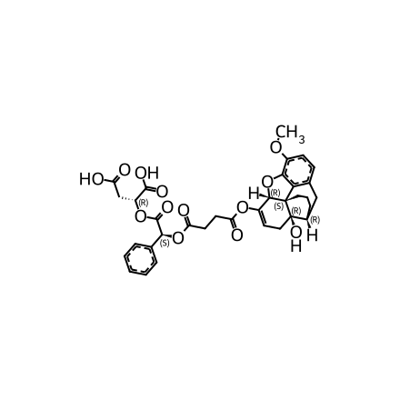 COc1ccc2c3c1O[C@H]1C(OC(=O)CCC(=O)O[C@H](C(=O)O[C@H](CC(=O)O)C(=O)O)c4ccccc4)=CC[C@@]4(O)[C@H](CCC[C@]314)C2